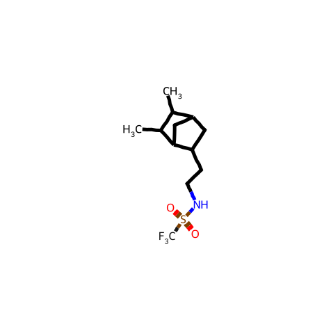 CC1C2CC(CCNS(=O)(=O)C(F)(F)F)C(C2)C1C